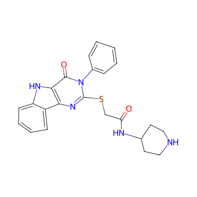 O=C(CSc1nc2c([nH]c3ccccc32)c(=O)n1-c1ccccc1)NC1CCNCC1